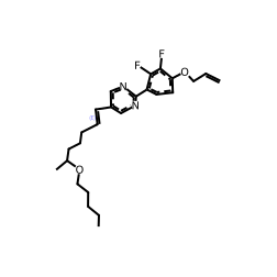 C=CCOc1ccc(-c2ncc(/C=C/CCCC(C)OCCCCC)cn2)c(F)c1F